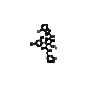 CCc1cccc2nc(NC3=NC(c4ccc(Cl)cc4Cl)C(C(=O)NC/C(C=N)=C/NC)=C(C)N3)oc12